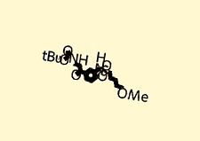 COCCCCCS(=O)(=O)Nc1cccc(C(=O)CCNC(=O)OC(C)(C)C)c1